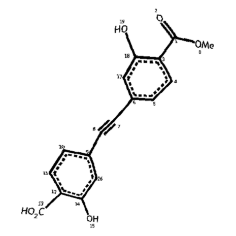 COC(=O)c1ccc(C#Cc2ccc(C(=O)O)c(O)c2)cc1O